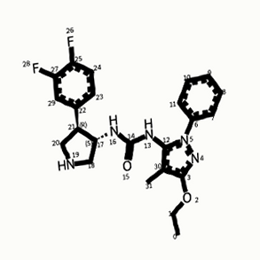 CCOc1nn(-c2ccccc2)c(NC(=O)N[C@@H]2CNC[C@H]2c2ccc(F)c(F)c2)c1C